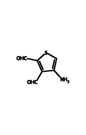 Nc1csc(C=O)c1C=O